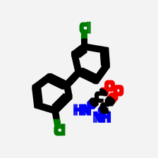 Clc1cccc(-c2cccc(Cl)c2)c1.N=C=O.N=C=O